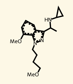 COCCCCn1nc(C(C)NC2CC2)c2cccc(OC)c21